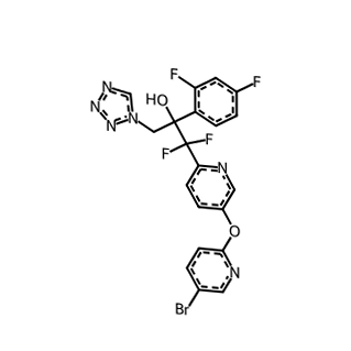 OC(Cn1cnnn1)(c1ccc(F)cc1F)C(F)(F)c1ccc(Oc2ccc(Br)cn2)cn1